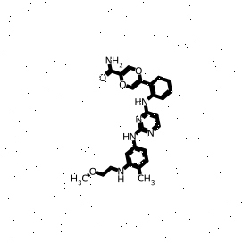 COCCNc1cc(Nc2nccc(NC3=C(C4=COC(C(N)=O)=CO4)CCC=C3)n2)ccc1C